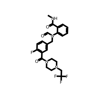 CNC(=O)c1ccccc1N(C=O)Cc1ccc(F)c(C(=O)N2CCN(CC(F)(F)F)CC2)c1